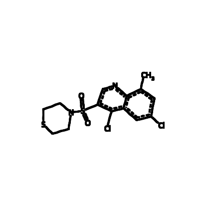 Cc1cc(Cl)cc2c(Cl)c(S(=O)(=O)N3CCSCC3)cnc12